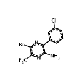 Nc1nc(C(F)(F)F)c(Br)nc1-c1cccc(Cl)c1